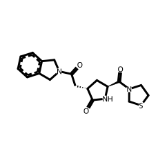 O=C1N[C@H](C(=O)N2CCSC2)C[C@H]1CC(=O)N1Cc2ccccc2C1